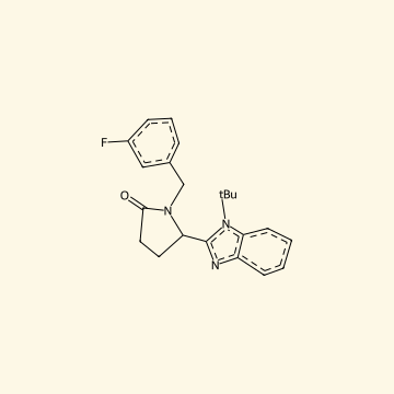 CC(C)(C)n1c(C2CCC(=O)N2Cc2cccc(F)c2)nc2ccccc21